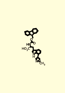 Cn1cc(-c2cccc3c(C[C@H](NC(=O)OCC4c5ccccc5-c5ccccc54)C(=O)O)c[nH]c23)cn1